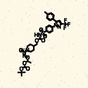 Cc1ccc(-c2cc(C(F)(F)F)nn2-c2ccc(S(=O)(=O)NC(=O)OCC3CCN(/[N+]([O-])=N\OC(C)OC(=O)OC(C)(C)C)CC3)cc2)cc1